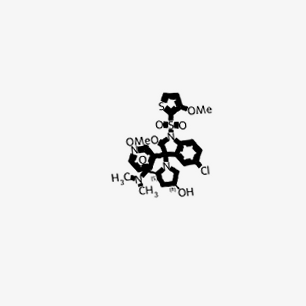 COc1ccsc1S(=O)(=O)N1C(=O)C(c2cccnc2OC)(N2C[C@H](O)C[C@H]2C(=O)N(C)C)c2cc(Cl)ccc21